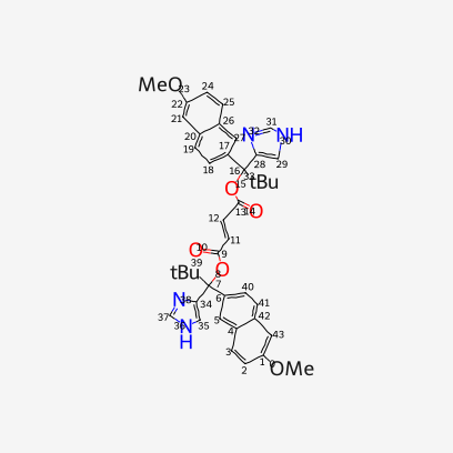 COc1ccc2cc(C(OC(=O)/C=C/C(=O)OC(c3ccc4cc(OC)ccc4c3)(c3c[nH]cn3)C(C)(C)C)(c3c[nH]cn3)C(C)(C)C)ccc2c1